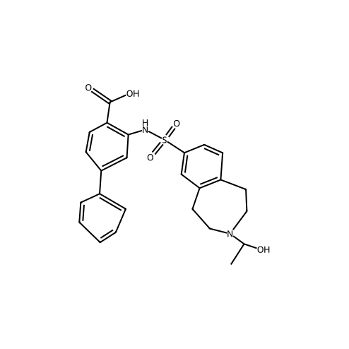 CC(O)N1CCc2ccc(S(=O)(=O)Nc3cc(-c4ccccc4)ccc3C(=O)O)cc2CC1